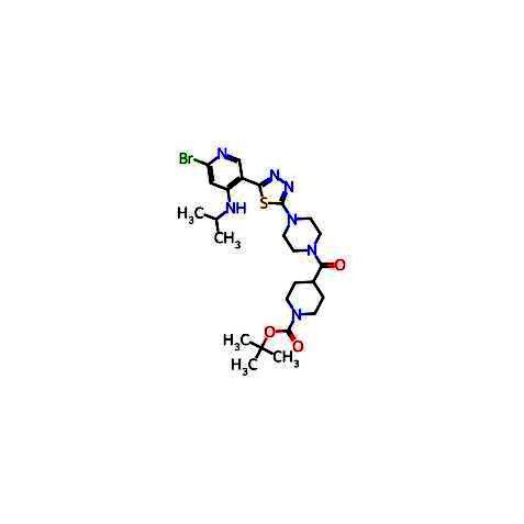 CC(C)Nc1cc(Br)ncc1-c1nnc(N2CCN(C(=O)C3CCN(C(=O)OC(C)(C)C)CC3)CC2)s1